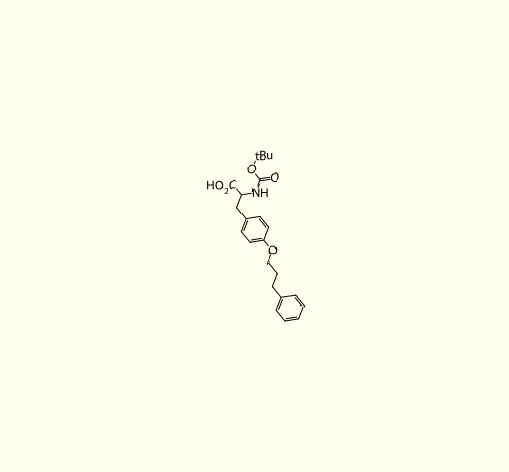 CC(C)(C)OC(=O)NC(Cc1ccc(OCCCc2ccccc2)cc1)C(=O)O